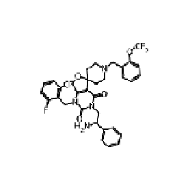 N[C@@H](Cn1c(=O)c2c(n(Cc3c(F)cccc3C(F)(F)F)c1=O)COC21CCN(Cc2ccccc2OC(F)(F)F)CC1)c1ccccc1